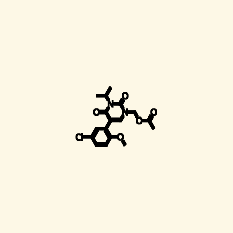 COc1ccc(Cl)cc1-c1cn(COC(C)=O)c(=O)n(C(C)C)c1=O